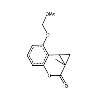 COCOc1cccc2c1C1CC1(C)C(=O)O2